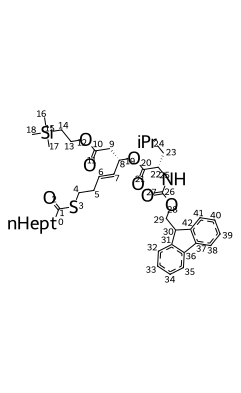 CCCCCCCC(=O)SCC/C=C/[C@H](CC(=O)OCC[Si](C)(C)C)OC(=O)[C@H](CC(C)C)NC(=O)OCC1c2ccccc2-c2ccccc21